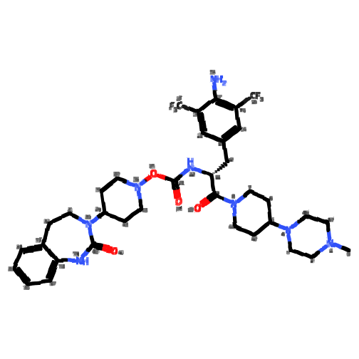 CN1CCN(C2CCN(C(=O)[C@@H](Cc3cc(C(F)(F)F)c(N)c(C(F)(F)F)c3)NC(=O)ON3CCC(N4CCc5ccccc5NC4=O)CC3)CC2)CC1